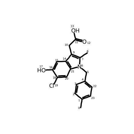 Cc1ccc(Cn2c(C)c(CC(=O)O)c3cc(O)c(Cl)cc32)cc1